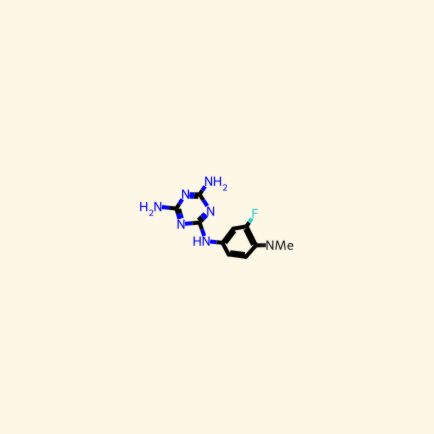 CNc1ccc(Nc2nc(N)nc(N)n2)cc1F